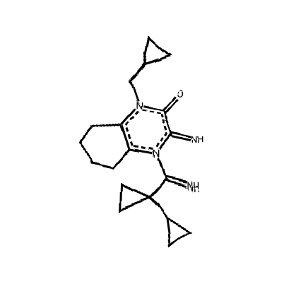 N=C(n1c2c(n(CC3CC3)c(=O)c1=N)CCCC2)C1(C2CC2)CC1